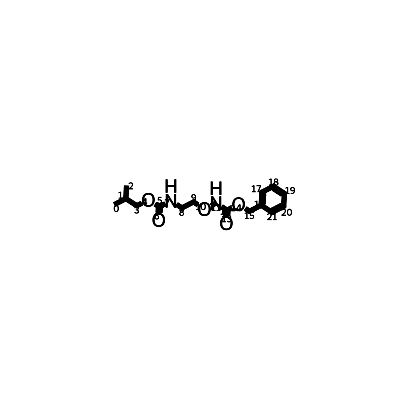 CC(C)COC(=O)NCCONC(=O)OCc1ccccc1